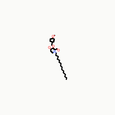 CCCCCCCCCCCCCCCCn1ccc(=O)c(OCc2ccc(OC)cc2)c1C=O